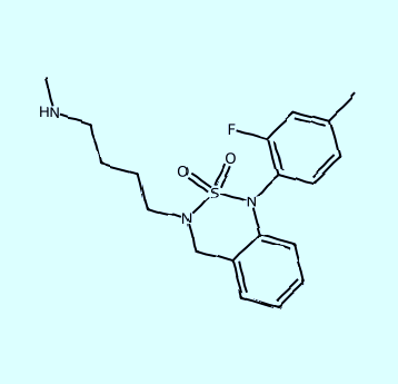 CNCCCCN1Cc2ccccc2N(c2ccc(C)cc2F)S1(=O)=O